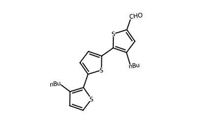 CCCCc1ccsc1-c1ccc(-c2sc(C=O)cc2CCCC)s1